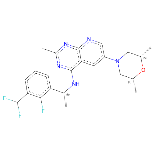 Cc1nc(N[C@H](C)c2cccc(C(F)F)c2F)c2cc(N3C[C@@H](C)O[C@@H](C)C3)cnc2n1